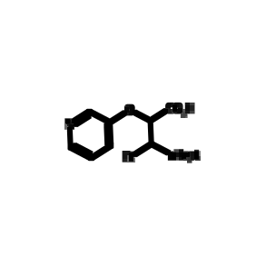 CCCCCCCC(CC)C(Oc1cccnc1)C(=O)O